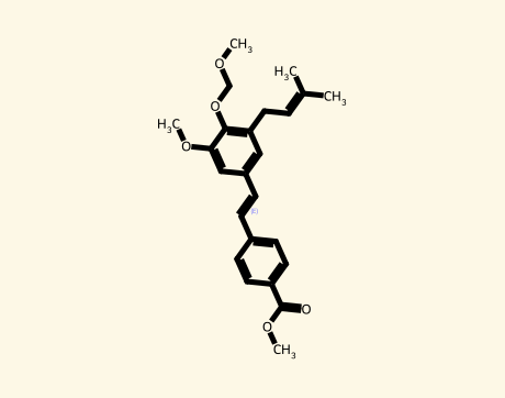 COCOc1c(CC=C(C)C)cc(/C=C/c2ccc(C(=O)OC)cc2)cc1OC